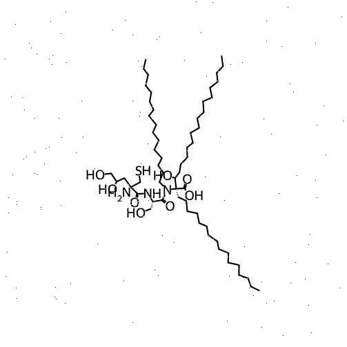 CCCCCCCCCCCCCCCCC(O)[C@@](CCCCCCCCCCCCCCCC)(C(=O)O)N(CCCCCCCCCCCCCCCC)C(=O)[C@H](CO)NC(=O)[C@@](N)(CS)CC(O)CO